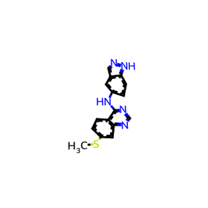 CSc1ccc2c(Nc3ccc4[nH]ncc4c3)ncnc2c1